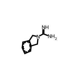 N=C(N)N1Cc2ccccc2C1